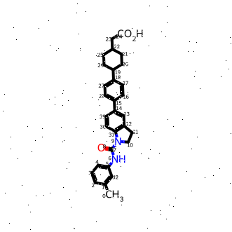 Cc1cccc(NC(=O)N2CCc3cc(-c4ccc(C5CCC(CC(=O)O)CC5)cc4)ccc32)c1